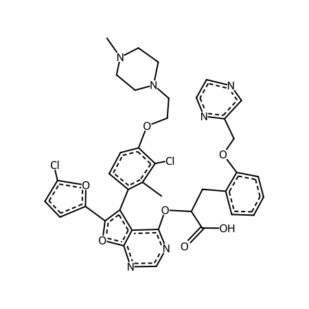 Cc1c(-c2c(-c3ccc(Cl)o3)oc3ncnc(OC(Cc4ccccc4OCc4cnccn4)C(=O)O)c23)ccc(OCCN2CCN(C)CC2)c1Cl